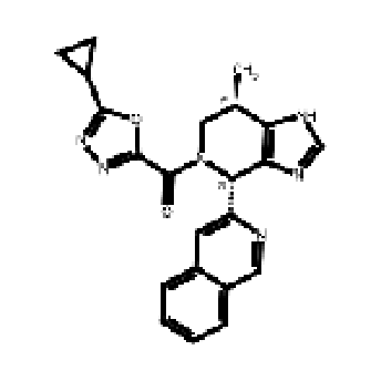 C[C@@H]1CN(C(=O)c2nnc(C3CC3)o2)[C@@H](c2cc3ccccc3cn2)c2nc[nH]c21